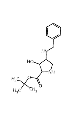 CC(C)(C)OC(=O)C1NCC(NCc2ccccc2)C1O